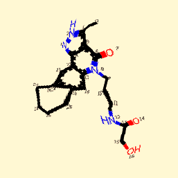 Cc1[nH]nc2c1c(=O)n(CCCNC(=O)CO)c1cc3c(cc21)CCCC3